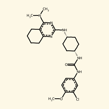 COc1ccc(NC(=O)N[C@H]2CC[C@@H](Nc3nc4c(c(N(C)C)n3)CCCC4)CC2)cc1Cl